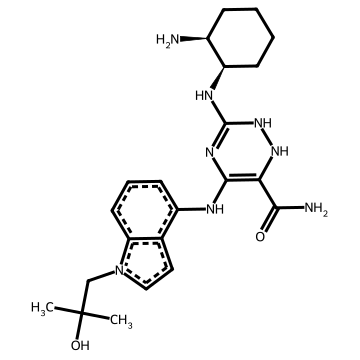 CC(C)(O)Cn1ccc2c(NC3=C(C(N)=O)NNC(N[C@@H]4CCCC[C@@H]4N)=N3)cccc21